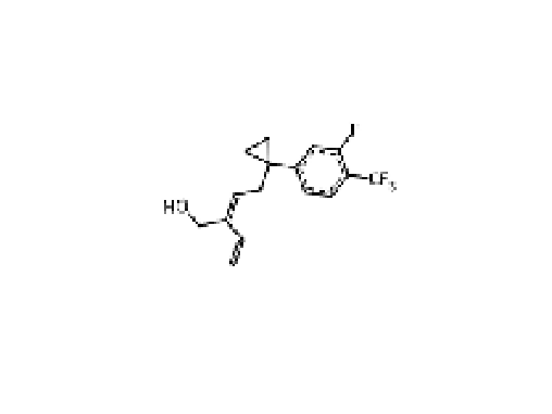 C=C/C(=C\CC1(c2ccc(C(F)(F)F)c(F)c2)CC1)CO